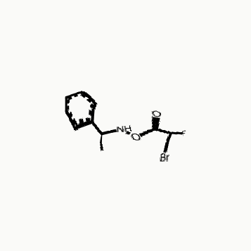 C[C@H](NOC(=O)C(F)Br)c1ccccc1